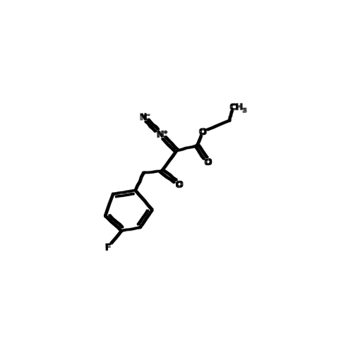 CCOC(=O)C(=[N+]=[N-])C(=O)Cc1ccc(F)cc1